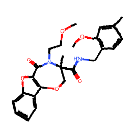 COCCN1C(=O)c2oc3ccccc3c2OCC1(C)C(=O)NCc1ccc(C)cc1OC